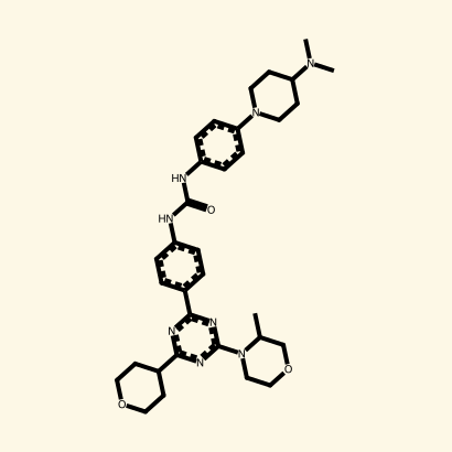 CC1COCCN1c1nc(-c2ccc(NC(=O)Nc3ccc(N4CCC(N(C)C)CC4)cc3)cc2)nc(C2CCOCC2)n1